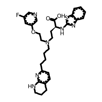 O=C(O)[C@H](CCN(CCCCc1ccc2c(n1)NCCC2)CCOc1cncc(F)c1)Nc1nc2ccccc2s1